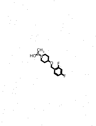 CB(O)N1CCC(OCc2ccc(F)cc2F)CC1